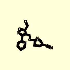 N#Cc1ccc(OCc2c(-c3ccccn3)noc2C=O)nc1